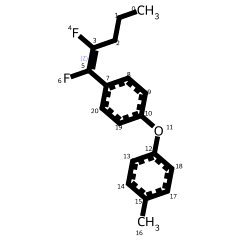 CCC/C(F)=C(/F)c1ccc(Oc2ccc(C)cc2)cc1